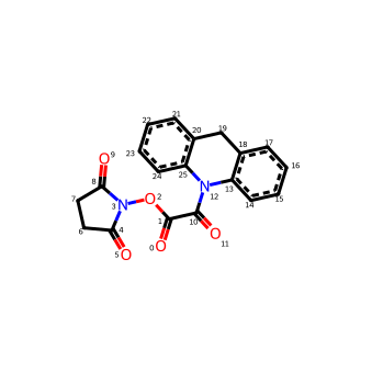 O=C(ON1C(=O)CCC1=O)C(=O)N1c2ccccc2Cc2ccccc21